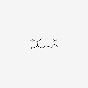 CCC(CCCC(C)O)C(C)O